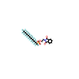 O=C1c2ccccc2C(=O)N1CCOS(=O)(=O)C(F)(F)C(F)(F)C(F)(F)C(F)(F)C(F)(F)C(F)(F)C(F)(F)C(F)(F)C(F)(F)C(F)(F)F